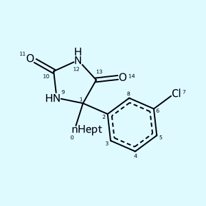 CCCCCCCC1(c2cccc(Cl)c2)NC(=O)NC1=O